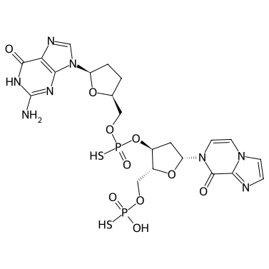 Nc1nc2c(ncn2[C@H]2CC[C@@H](COP(=O)(S)O[C@H]3C[C@H](n4ccn5ccnc5c4=O)O[C@@H]3COP(=O)(O)S)O2)c(=O)[nH]1